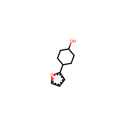 OC1CCC(c2cc[c]o2)CC1